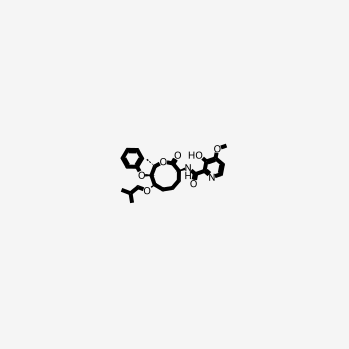 COc1ccnc(C(=O)N[C@H]2CCC[C@H](OCC(C)C)[C@@H](Oc3ccccc3)[C@H](C)OC2=O)c1O